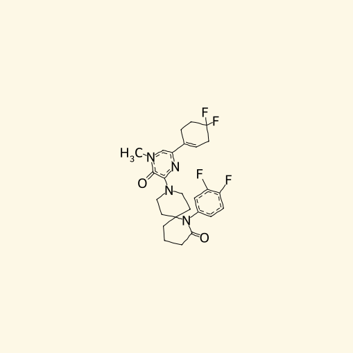 Cn1cc(C2=CCC(F)(F)CC2)nc(N2CCC3(CCCC(=O)N3c3ccc(F)c(F)c3)CC2)c1=O